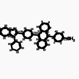 Bc1ccc(-c2c3ccccc3c(-c3ccc(-c4nc5ccccc5n4C4=CCCC=C4)cc3)c3ccccc23)cc1